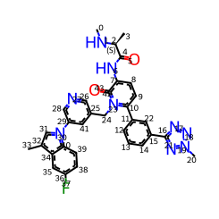 CN[C@@H](C)C(=O)Nc1ccc(-c2cccc(-c3nnn(C)n3)c2)n(Cc2cncc(-n3cc(C)c4cc(F)ccc43)c2)c1=O